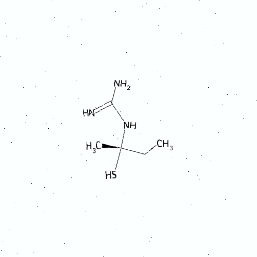 CC[C@](C)(S)NC(=N)N